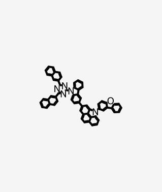 c1ccc2cc(-c3nc(-c4ccc5ccccc5c4)nc(-n4c5ccccc5c5cc(-c6cc7ccc8cccc9c8c7c(c6)n9-c6ccc7oc8ccccc8c7c6)ccc54)n3)ccc2c1